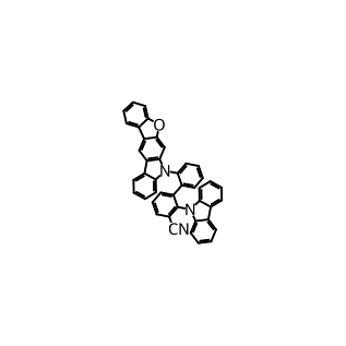 N#Cc1cccc(-c2ccccc2-n2c3ccccc3c3cc4c(cc32)oc2ccccc24)c1-n1c2ccccc2c2ccccc21